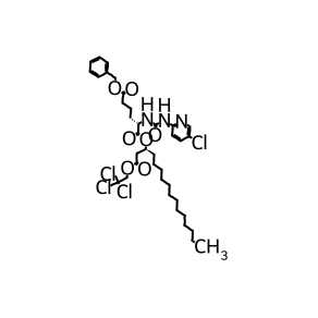 CCCCCCCCCCCCC[C@@H](CC(=O)OCC(Cl)(Cl)Cl)OC(=O)[C@H](CCCC(=O)OCc1ccccc1)NC(=O)Nc1ccc(Cl)cn1